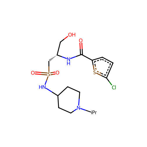 CC(C)N1CCC(NS(=O)(=O)C[C@H](CO)NC(=O)c2ccc(Cl)s2)CC1